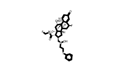 C[C@]12C[C@H](O)[C@@]3(F)[C@@H](C[C@H](F)C4=CC(=O)C=C[C@@]43C)[C@@H]1C[C@@H](CN(O)CCSc1ccccc1)[C@@H]2C(=O)SCF